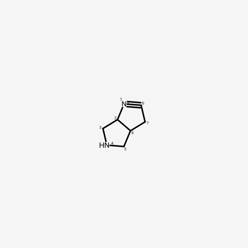 C1#[N+]C2CNCC2C1